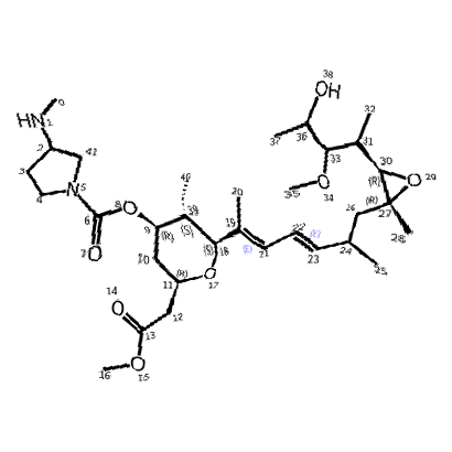 CNC1CCN(C(=O)O[C@@H]2C[C@H](CC(=O)OC)O[C@H](/C(C)=C/C=C/C(C)C[C@@]3(C)O[C@@H]3C(C)C(OC)C(C)O)[C@H]2C)C1